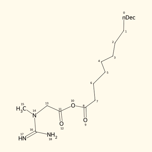 CCCCCCCCCCCCCCCCCC(=O)OC(=O)CN(C)C(=N)N